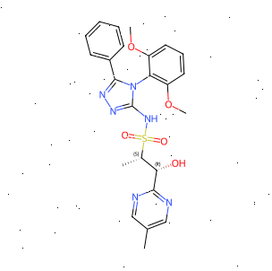 COc1cccc(OC)c1-n1c(NS(=O)(=O)[C@@H](C)[C@H](O)c2ncc(C)cn2)nnc1-c1ccccc1